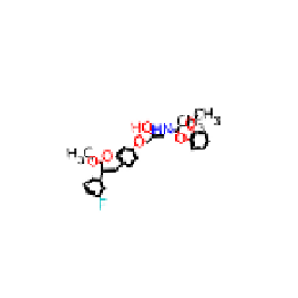 COC(=O)C(=Cc1ccc(OCC(O)CNC(C)Oc2ccccc2OC)cc1)c1cccc(F)c1